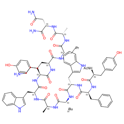 CC[C@H](C)[C@H](NC(=O)[C@H](Cc1c[nH]c2ccccc12)NC(=O)[C@H](Cc1ccccc1)NC(=O)[C@H](Cc1ccc(O)cc1)NC(C)=O)C(=O)N[C@@H](C)C(=O)N[C@@H](Cc1c[nH]c2ccccc12)C(=O)N[C@@H](Cc1ccc(O)cc1)C(=O)N[C@@H](CCCCN)C(=O)N[C@@H](CC(C)C)C(=O)N[C@@H](C)C(=O)N[C@@H](CC(N)=O)C(N)=O